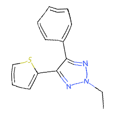 CCn1nc(-c2ccccc2)c(-c2cccs2)n1